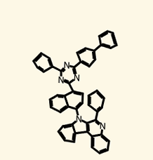 c1ccc(-c2ccc(-c3nc(-c4ccccc4)nc(-c4ccc(-n5c6ccccc6c6c7ccccc7nc(-c7ccccc7)c65)c5ccccc45)n3)cc2)cc1